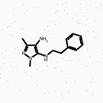 Cc1nn(C)c(NCCc2ccccc2)c1N